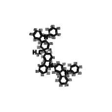 CC1(c2ccc3c(c2)c2ccccc2n3-c2ccc3c(c2)c2ccccc2n3-c2ccccc2)C=Cc2c(c3ccccc3n2-c2ccccc2)C1